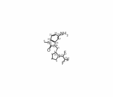 Cn1c(=O)n(C[C@@H]2CCCN2C(F)C(F)F)c2cc(N)ccc21